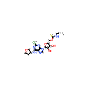 CCNC(=S)OC[C@H]1O[C@@H](n2cnc3c(N[C@@H]4CCOC4)nc(Cl)nc32)[C@H](O)[C@@H]1O